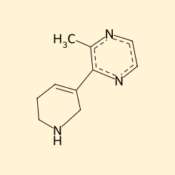 Cc1nccnc1C1=CCCNC1